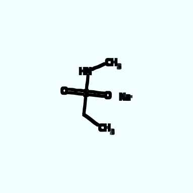 CCS(=O)(=O)NC.[Na]